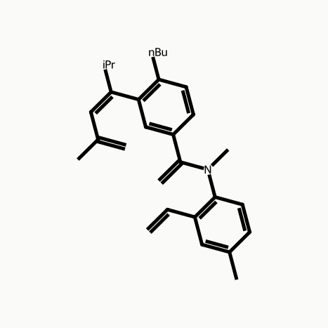 C=Cc1cc(C)ccc1N(C)C(=C)c1ccc(CCCC)c(/C(=C\C(=C)C)C(C)C)c1